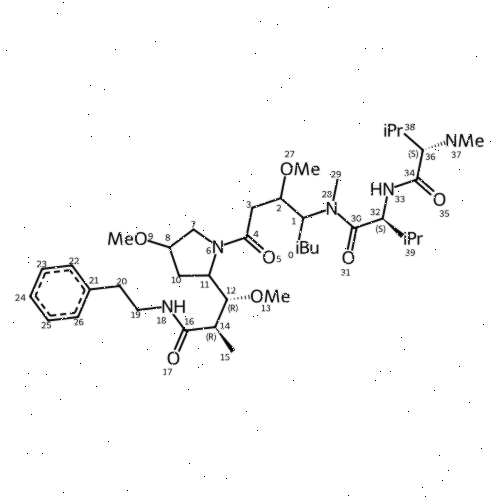 CCC(C)C(C(CC(=O)N1CC(OC)CC1[C@H](OC)[C@@H](C)C(=O)NCCc1ccccc1)OC)N(C)C(=O)[C@@H](NC(=O)[C@@H](NC)C(C)C)C(C)C